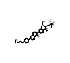 FCCCc1ccc(-c2ccc3c(F)c(-c4ccc5c(F)c(C#CC(F)(F)F)c(F)cc5c4)ccc3c2)cc1